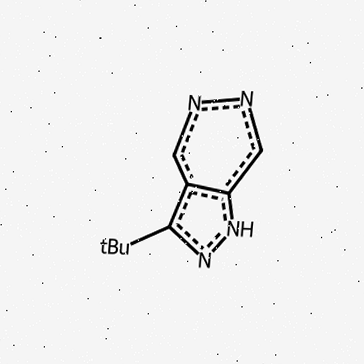 CC(C)(C)c1n[nH]c2cnncc12